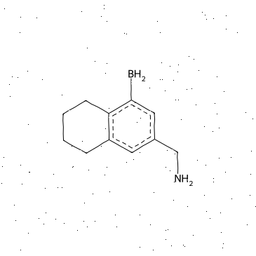 Bc1cc(CN)cc2c1CCCC2